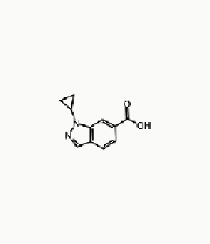 O=C(O)c1ccc2cnn(C3CC3)c2c1